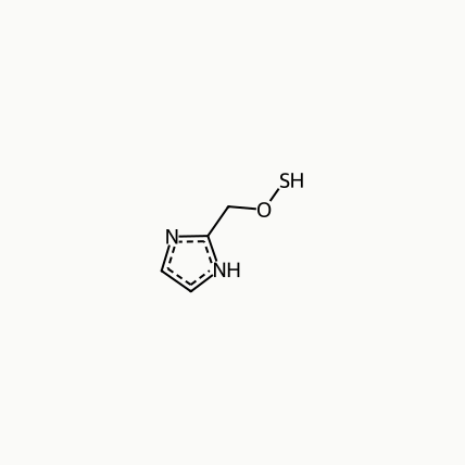 SOCc1ncc[nH]1